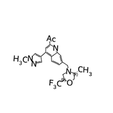 CC(=O)c1cc(-c2cnn(C)c2)c2ccc(CN3C[C@H](C(F)(F)F)OC[C@H]3C)cc2n1